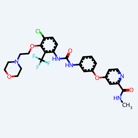 CNC(=O)c1cc(Oc2cccc(NC(=O)Nc3ccc(Cl)c(OCCN4CCOCC4)c3C(F)(F)F)c2)ccn1